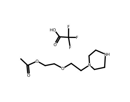 CC(=O)OCCOCCN1CCNCC1.O=C(O)C(F)(F)F